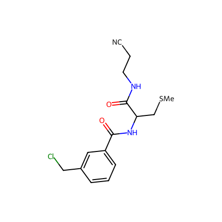 CSCC(NC(=O)c1cccc(CCl)c1)C(=O)NCCC#N